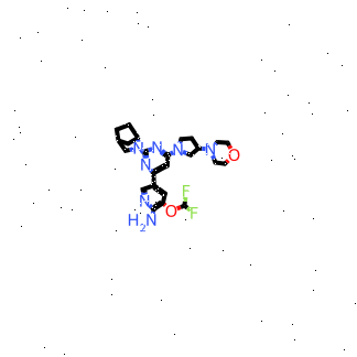 Nc1ncc(-c2cc(N3CCC(N4CCOCC4)C3)nc(N3CC4CCC3C4)n2)cc1OC(F)F